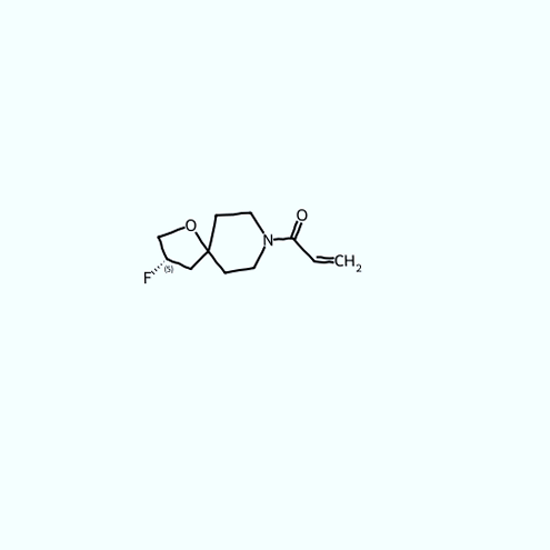 C=CC(=O)N1CCC2(CC1)C[C@H](F)CO2